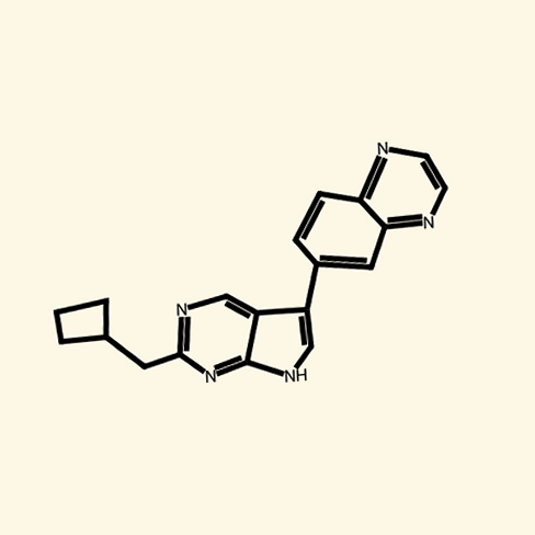 c1cnc2cc(-c3c[nH]c4nc(CC5CCC5)ncc34)ccc2n1